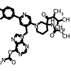 COC(=O)NC1(C(=O)C(C)C(C)C)CCCN(c2cnc(-c3ccc(F)c(F)c3)cc2Cn2cnc3c(OC(N)=O)ncnc32)C1